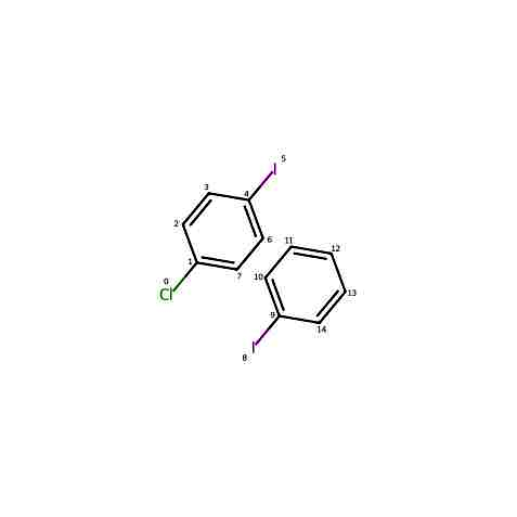 Clc1ccc(I)cc1.Ic1ccccc1